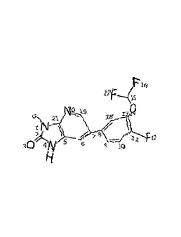 Cn1c(=O)[nH]c2cc(-c3ccc(F)c(OC(F)F)c3)cnc21